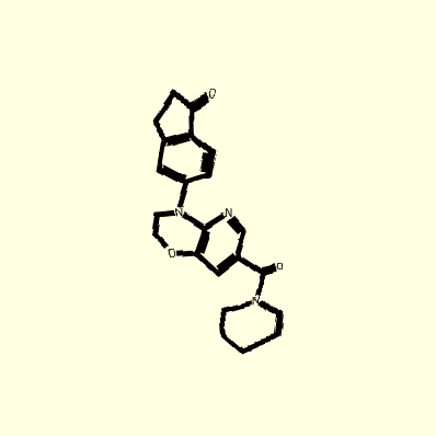 O=C1CCc2cc(N3CCOc4cc(C(=O)N5CCCCC5)cnc43)ccc21